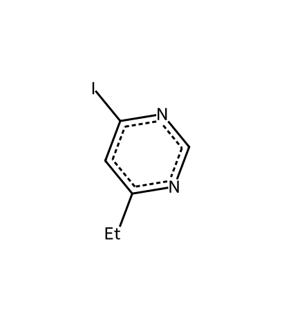 CCc1cc(I)ncn1